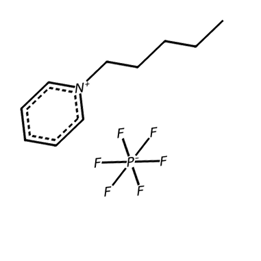 CCCCC[n+]1ccccc1.F[P-](F)(F)(F)(F)F